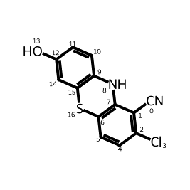 N#Cc1c(Cl)ccc2c1Nc1ccc(O)cc1S2